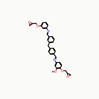 COc1cc(/N=C/c2ccc(Cc3cccc(C=Nc4cccc(OCC5CO5)c4)c3)cc2)ccc1OCC1CO1